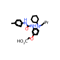 Cc1ccc(NC(=O)Nc2cc(OCC(=O)O)ccc2N(CC(C)C)C2CCCCC2)cc1